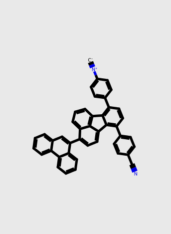 [C-]#[N+]c1ccc(-c2ccc(-c3ccc(C#N)cc3)c3c2-c2cccc4c(-c5cc6ccccc6c6ccccc56)ccc-3c24)cc1